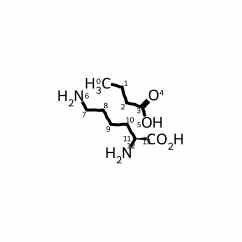 CCCC(=O)O.NCCCC[C@H](N)C(=O)O